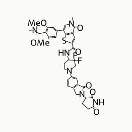 COc1cc(-c2cn(C)c(=O)c3cc(C(=O)NC4CCN(c5ccc6c(c5)C(=O)N(C5CCC(=O)NC5=O)C6)CC4(F)F)sc23)cc(OC)c1CN(C)C